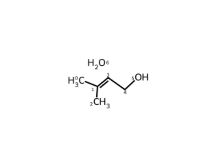 CC(C)=CCO.O